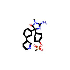 CN1C(=O)C(c2ccc(OS(C)(=O)=O)cc2)(c2cccc(-c3cccnc3)c2)N=C1N